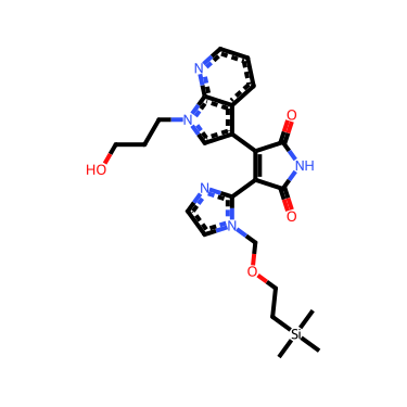 C[Si](C)(C)CCOCn1ccnc1C1=C(c2cn(CCCO)c3ncccc23)C(=O)NC1=O